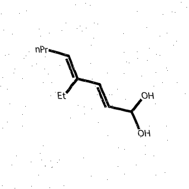 CCC/C=C(/C=C/C(O)O)CC